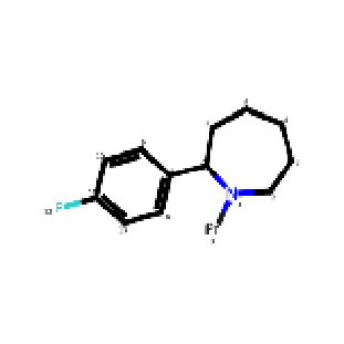 CC(C)N1CCCCCC1c1ccc(F)cc1